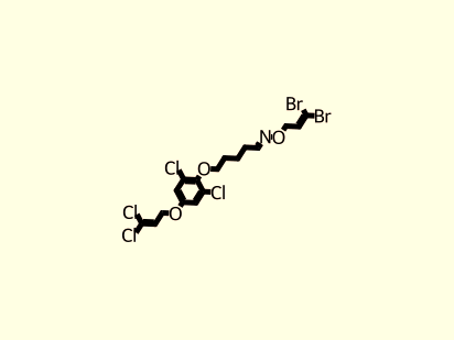 ClC(Cl)=CCOc1cc(Cl)c(OCCCCC=NOCC=C(Br)Br)c(Cl)c1